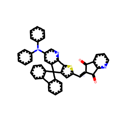 O=C1/C(=C\c2cc3c(s2)-c2ncc(N(c4ccccc4)c4ccccc4)cc2C32c3ccccc3-c3ccccc32)C(=O)c2ncccc21